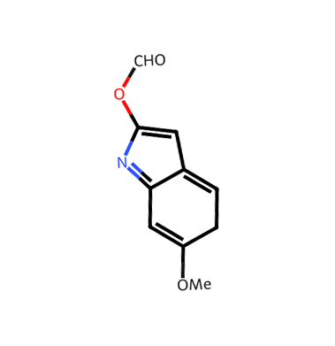 COC1=CC2=NC(OC=O)=CC2=CC1